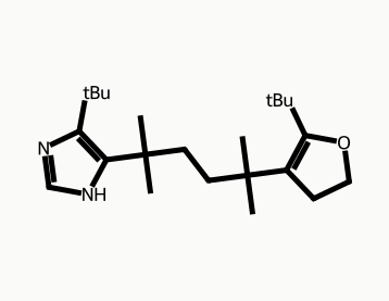 CC(C)(C)C1=C(C(C)(C)CCC(C)(C)c2[nH]cnc2C(C)(C)C)CCO1